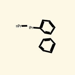 CC(C)c1ccccc1.CCCC.c1ccccc1